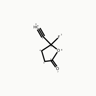 C#CC1(F)CCC(=O)O1